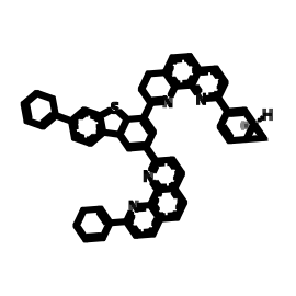 C1=CCCC(c2ccc3c(c2)SC2C(C4=Nc5c(ccc6ccc(C7=C[C@H]8CC8C=C7)nc56)CC4)=CC(c4ccc5ccc6ccc(C7=CCCC=C7)nc6c5n4)=CC32)=C1